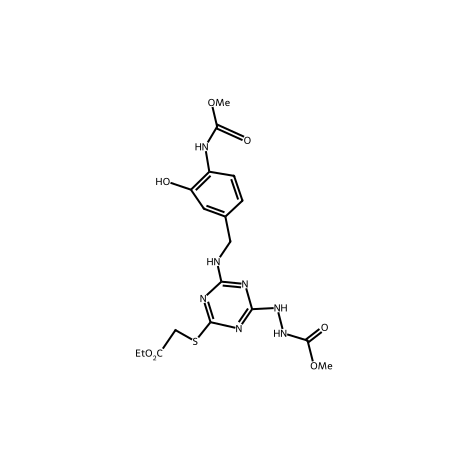 CCOC(=O)CSc1nc(NCc2ccc(NC(=O)OC)c(O)c2)nc(NNC(=O)OC)n1